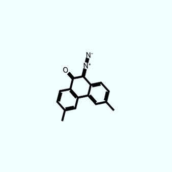 Cc1ccc2c(c1)-c1cc(C)ccc1C(=[N+]=[N-])C2=O